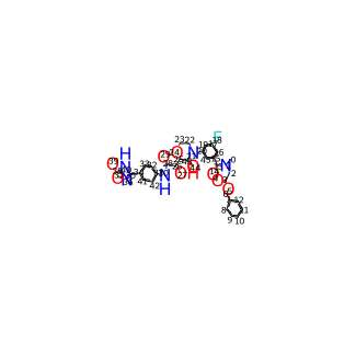 CN(CC(=O)OCc1ccccc1)C(=O)c1cc(F)cc(N2CCO[C@H]([C@@H](O)C(=O)Nc3ccc(-c4noc(=O)[nH]4)cc3)C2=O)c1